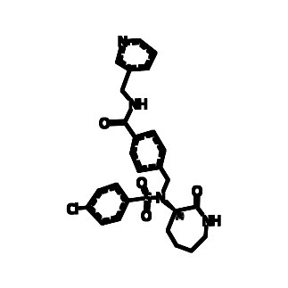 O=C(NCc1cccnc1)c1ccc(CN([C@@H]2CCCCNC2=O)S(=O)(=O)c2ccc(Cl)cc2)cc1